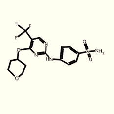 NS(=O)(=O)c1ccc(Nc2ncc(C(F)(F)F)c(OC3CCOCC3)n2)cc1